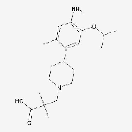 Cc1cc(N)c(OC(C)C)cc1C1CCN(CC(C)(C)C(=O)O)CC1